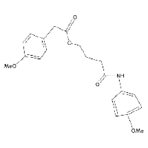 COc1ccc(CC(=O)OCCCC(=O)Nc2ccc(OC)cc2)cc1